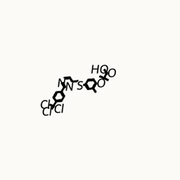 Cc1cc(SCc2ccnc(-c3ccc(C(Cl)(Cl)Cl)cc3)n2)ccc1OC(C)(C)C(=O)O